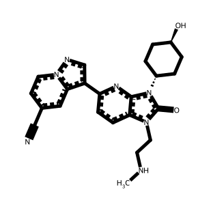 CNCCn1c(=O)n([C@H]2CC[C@H](O)CC2)c2nc(-c3cnn4ccc(C#N)cc34)ccc21